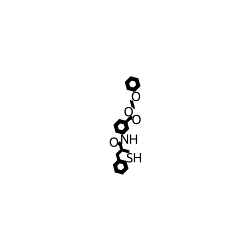 O=C(OCCOc1ccccc1)c1cccc(NC(=O)C(CS)Cc2ccccc2)c1